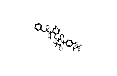 CC1(C)C(=O)N(c2ccc(SC(F)(F)F)cc2)C(=O)N1Cc1ccncc1NC(=O)Cc1ccccc1